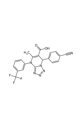 CC1=C(C(=O)O)C(c2ccc(C#N)cc2)n2nnnc2N1c1cccc(C(F)(F)F)c1